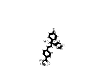 CC(C)(C)NC(=O)c1ccc(CCC(O)(c2ccc(F)cc2)c2c[nH]cn2)cc1